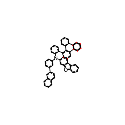 c1ccc(-c2ccccc2-c2c(-c3ccccc3)cccc2-c2ccccc2N(c2cccc(-c3ccc4ccccc4c3)c2)c2ccc3c(c2)oc2ccccc23)cc1